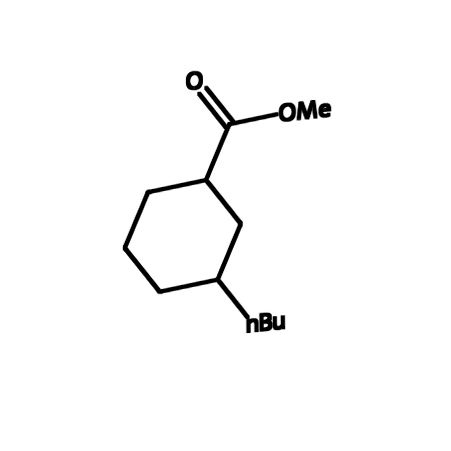 [CH2]CCCC1CCCC(C(=O)OC)C1